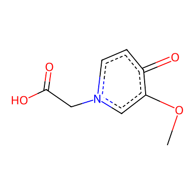 COc1cn(CC(=O)O)ccc1=O